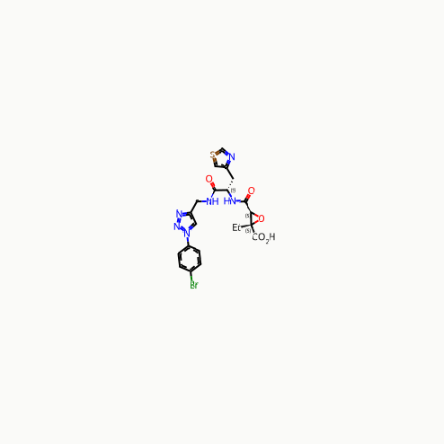 CC[C@]1(C(=O)O)O[C@@H]1C(=O)N[C@@H](Cc1cscn1)C(=O)NCc1cn(-c2ccc(Br)cc2)nn1